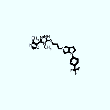 Cc1ncoc1C1=NNC(SCCCN2CC3CCN(c4ccc(C(F)(F)F)cc4)C3C2)N1C